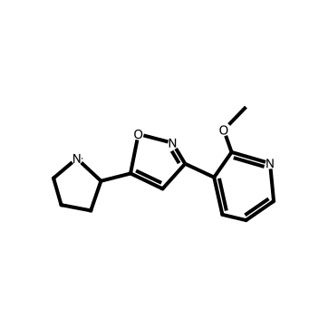 COc1ncccc1-c1cc(C2CCC[N]2)on1